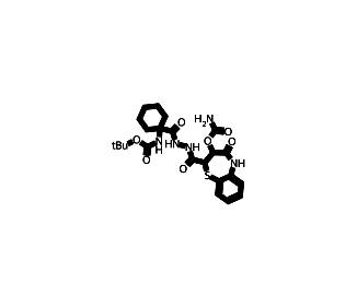 CC(C)(C)OC(=O)NC1(C(=O)NNC(=O)C2Sc3ccccc3NC(=O)C2OC(N)=O)CCCCC1